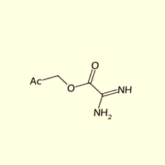 CC(=O)COC(=O)C(=N)N